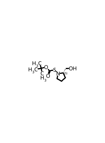 CC(C)(C)OC(=O)SN1CCC[C@H]1CO